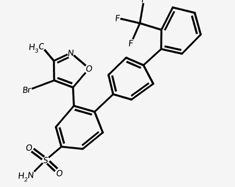 Cc1noc(-c2cc(S(N)(=O)=O)ccc2-c2ccc(-c3ccccc3C(F)(F)F)cc2)c1Br